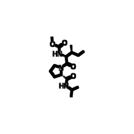 CC[C@H](C)[C@H](NC(=O)OC)C(=O)N1CCC[C@H]1C(=O)NC(C)C